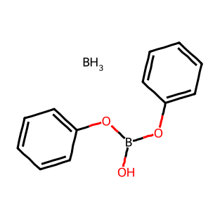 B.OB(Oc1ccccc1)Oc1ccccc1